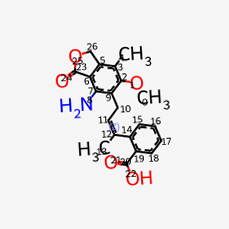 COc1c(C)c2c(c(N)c1C/C=C(/C)c1ccccc1C(=O)O)C(=O)OC2